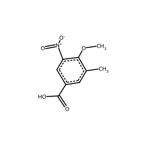 COc1c(C)cc(C(=O)O)cc1[N+](=O)[O-]